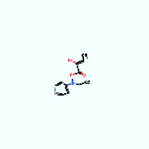 CC=C(O)C(=O)ON(CC(=O)O)c1ccccc1